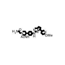 COc1ccc(-c2ccc3cnc(Nc4ccc(C5CCN(CC(N)=O)CC5)c(NC(C)=O)c4)nn23)cn1